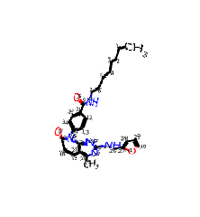 CCCCCCCCNC(=O)c1ccc(-n2c(=O)ccc3c(C)nc(NCc4ccco4)nc32)cc1